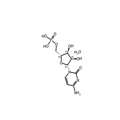 Nc1ccn([C@@H]2O[C@H](COP(=O)(O)O)[C@@H](O)[C@H]2O)c(=O)n1.O